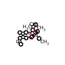 Cc1ccc(N(c2ccc(C)cc2)c2ccc(-c3ccc4c(c3)C3(c5ccccc5-c5ccc(N(c6ccc7c(c6)C(C)(C)c6ccccc6-7)c6ccccc6-c6ccccc6)cc53)c3ccc5oc6ccccc6c5c3-4)cc2)cc1